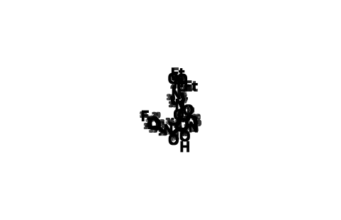 CCOP(=O)(CN1CCN(C(=O)Oc2c3c(c(O)c4ncccc24)C(=O)N(Cc2ccc(F)cc2)C3)CC1)OCC